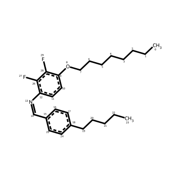 CCCCCCCCOc1ccc(/N=C\c2ccc(CCCCC)cc2)c(F)c1F